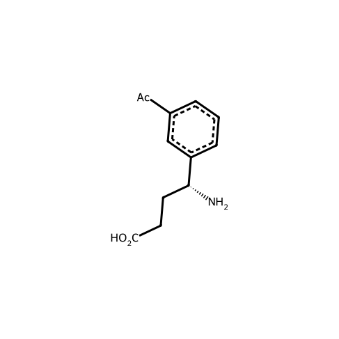 CC(=O)c1cccc([C@H](N)CCC(=O)O)c1